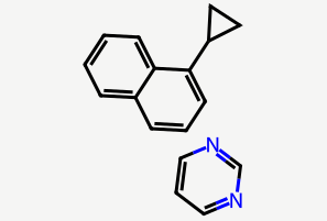 c1ccc2c(C3CC3)cccc2c1.c1cncnc1